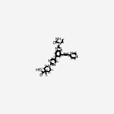 CCN(C(N)=O)c1nc2cc(-c3cnc(N4CCC(C)(C(=O)O)CC4)nc3)cc(C#Cc3ccncn3)c2s1